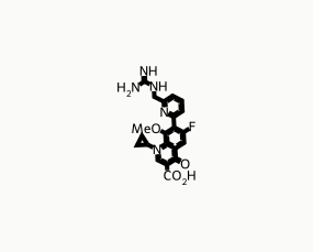 COc1c(-c2cccc(CNC(=N)N)n2)c(F)cc2c(=O)c(C(=O)O)cn(C3CC3)c12